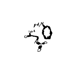 Nc1ccccc1.O=C(O)CN=S(=O)=O